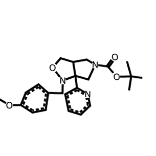 COc1ccc(CN2OCC3CN(C(=O)OC(C)(C)C)CC32c2ccccn2)cc1